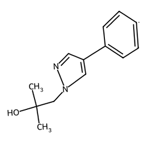 CC(C)(O)Cn1cc(-c2cc[c]cc2)cn1